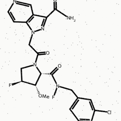 CO[C@H]1[C@@H](C(=O)N(F)Cc2cccc(Cl)c2)N(C(=O)Cn2nc(C(N)=O)c3cnccc32)C[C@@H]1F